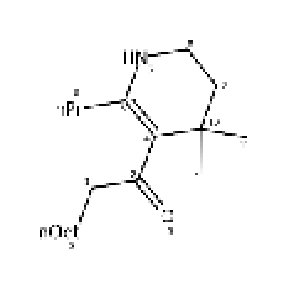 CCCCCCCCCC(=O)C1=C(CCC)NCCC1(C)C